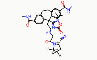 CNC(=O)c1ccc2c(c1)CCc1cc(C(=O)NC)ccc1C2(CCNCC(=O)N1[C@H](C#N)C[C@@H]2C[C@@H]21)c1nc(=O)on1C(C)C